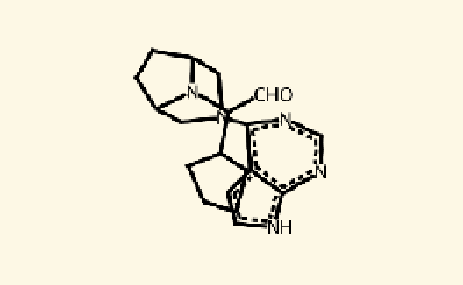 O=CC(C1CCCC1)N1C2CCC1CN(c1ncnc3[nH]ccc13)C2